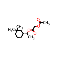 CC(=O)OCC(=O)OC(C)[C@@H]1CCCC(C)(C)C1